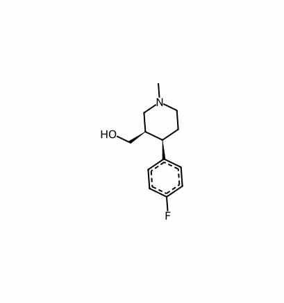 CN1CC[C@@H](c2ccc(F)cc2)[C@@H](CO)C1